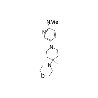 CNc1ccc(N2CCC(C)(N3CCOCC3)CC2)cn1